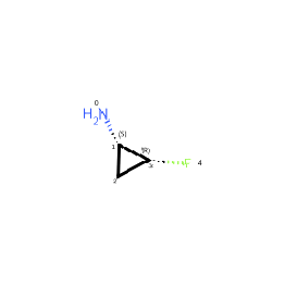 N[C@H]1C[C@H]1F